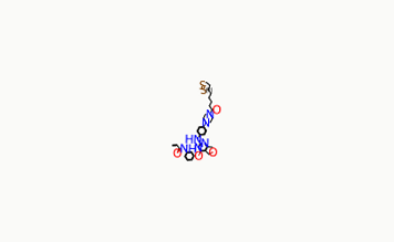 C=CC(=O)Nc1cccc(Oc2nc(Nc3ccc(N4CCN(C(=O)CCCC[C@@H]5CCSS5)CC4)cc3)nc3c2COC3)c1